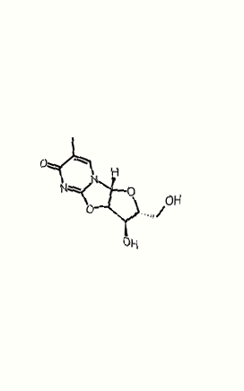 Cc1cn2c(nc1=O)OC1[C@H]2O[C@H](CO)[C@H]1O